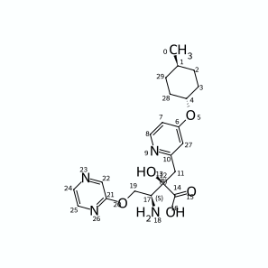 C[C@H]1CC[C@H](Oc2ccnc(C[C@](O)(C(=O)O)[C@@H](N)COc3cnccn3)c2)CC1